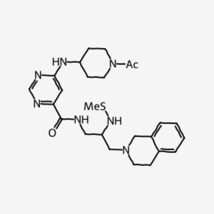 CSNC(CNC(=O)c1cc(NC2CCN(C(C)=O)CC2)ncn1)CN1CCc2ccccc2C1